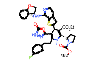 CCOC(=O)C1=C([C@@H]2CCCN2C(=O)OC(C)(C)C)NC(CCc2ccc(F)cc2)=C(c2n[nH]c(=O)o2)C1c1cc2ccnc(N[C@@H]3COc4ccccc43)c2s1